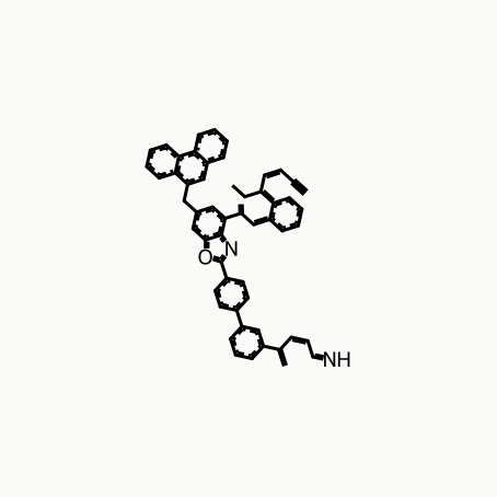 C#C\C=C/C(CC)=c1\cccc\c1=C\C(=C)c1cc(Cc2cc3ccccc3c3ccccc23)cc2oc(-c3ccc(-c4cccc(C(=C)/C=C\C=N)c4)cc3)nc12